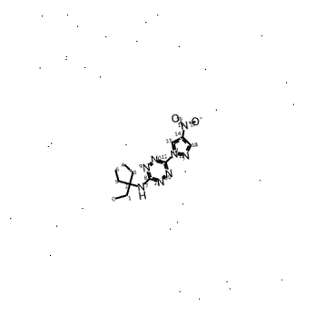 CCC(CC)(CC)Nc1nnc(-n2cc([N+](=O)[O-])cn2)nn1